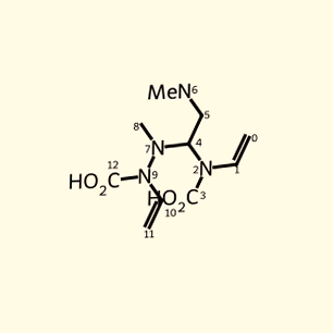 C=CN(C(=O)O)C(CNC)N(C)N(C=C)C(=O)O